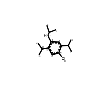 CC(C)Nc1cc(C(C)C)c(Cl)cc1C(C)C